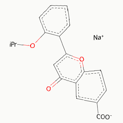 CC(C)Oc1ccccc1-c1cc(=O)c2cc(C(=O)[O-])ccc2o1.[Na+]